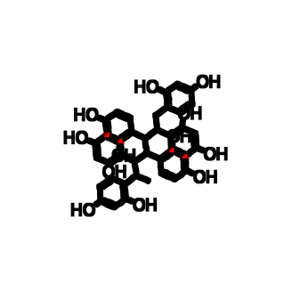 CC(c1ccc(O)cc1O)C(c1ccc(O)cc1O)C(c1ccc(O)cc1O)C(c1ccc(O)cc1O)C(Cc1ccc(O)cc1O)c1ccc(O)cc1O